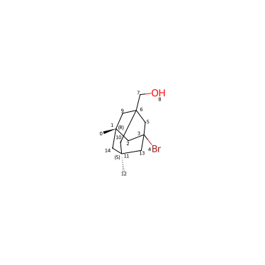 C[C@]12CC3(Br)CC(CO)(C1)C[C@@](C)(C3)C2